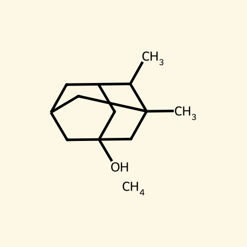 C.CC1C2CC3CC(O)(C2)CC1(C)C3